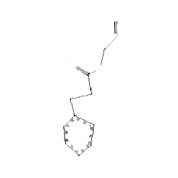 C=CCOC(=O)CCc1ccccc1